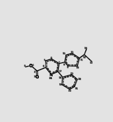 COC(=O)c1ccc(-c2ccc(C(C)C)cc2)c(-c2ccccc2)n1